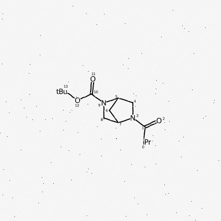 CC(C)C(=O)N1CC2CC1CN2C(=O)OC(C)(C)C